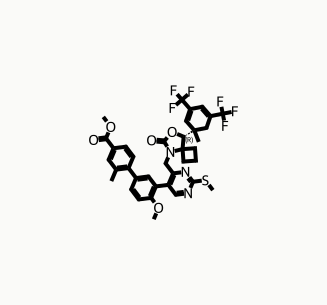 COC(=O)c1ccc(-c2ccc(OC)c(-c3cnc(SC)nc3CN3C(=O)O[C@H](C4(C)C=C(C(F)(F)F)C=C(C(F)(F)F)C4)C34CCC4)c2)c(C)c1